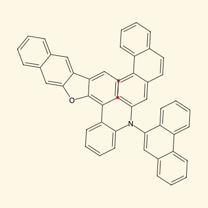 c1ccc(N(c2ccc3c(ccc4ccccc43)c2)c2cc3ccccc3c3ccccc23)c(-c2cccc3c2oc2cc4ccccc4cc23)c1